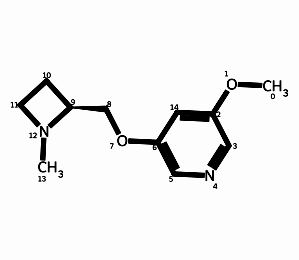 COc1cncc(OC[C@@H]2CCN2C)c1